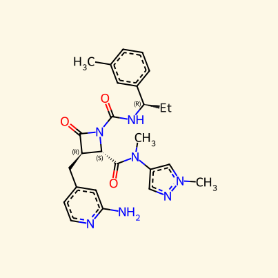 CC[C@@H](NC(=O)N1C(=O)[C@H](Cc2ccnc(N)c2)[C@H]1C(=O)N(C)c1cnn(C)c1)c1cccc(C)c1